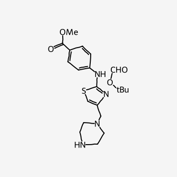 CC(C)(C)OC=O.COC(=O)c1ccc(Nc2nc(CN3CCNCC3)cs2)cc1